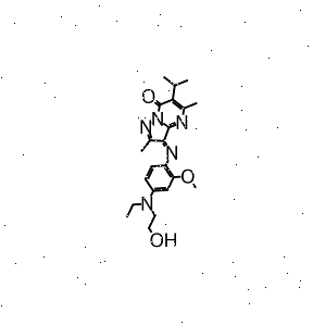 CCN(CCO)c1ccc(N=C2C(C)=Nn3c2nc(C)c(C(C)C)c3=O)c(OC)c1